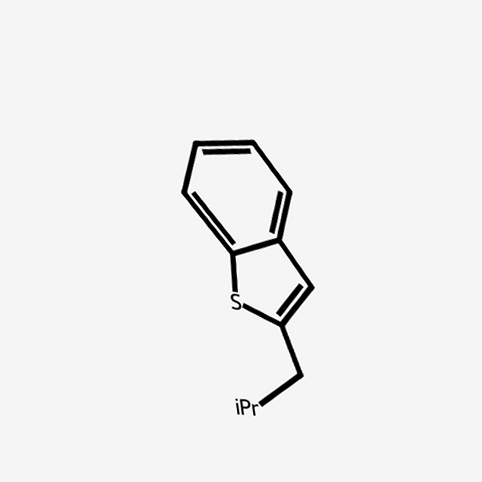 [CH2]C(C)Cc1cc2ccccc2s1